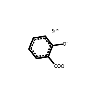 O=C([O-])c1ccccc1[O-].[Sr+2]